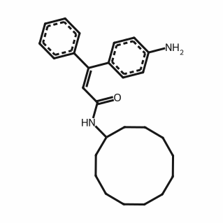 Nc1ccc(/C(=C\C(=O)NC2CCCCCCCCCCC2)c2ccccc2)cc1